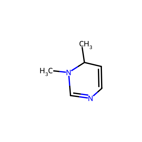 CC1C=CN=CN1C